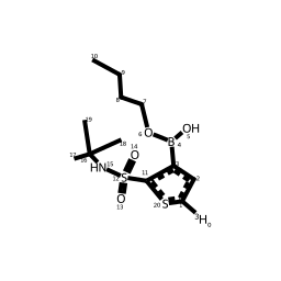 [3H]c1cc(B(O)OCCCC)c(S(=O)(=O)NC(C)(C)C)s1